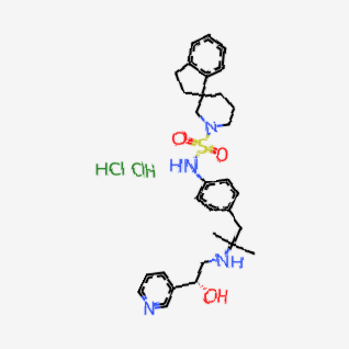 CC(C)(Cc1ccc(NS(=O)(=O)N2CCCC3(CCc4ccccc43)C2)cc1)NC[C@H](O)c1cccnc1.Cl.Cl